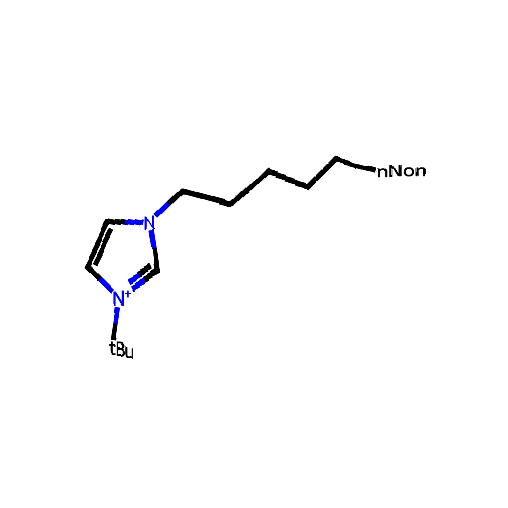 CCCCCCCCCCCCCCn1cc[n+](C(C)(C)C)c1